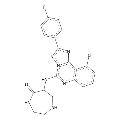 O=C1NCCNCC1Nc1nc2cccc(Cl)c2c2nc(-c3ccc(F)cc3)nn12